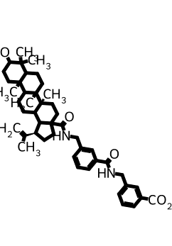 C=C(C)[C@@H]1CCC2(C(=O)NCc3cccc(C(=O)NCc4cccc(C(=O)O)c4)c3)CC[C@]3(C)C(CCC4C5(C)CCC(O)C(C)(C)C5CCC43C)C12